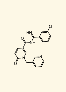 N=C(NC(=O)c1ccc(=O)n(Cc2cccnc2)c1)c1cccc(Cl)c1